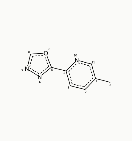 Cc1ccc(-c2nnco2)nc1